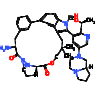 CCn1c(-c2cc(N3CCN4CCC[C@@H]4C3)cnc2[C@H](C)O)c2c3cc(ccc31)-c1cccc(c1)C[C@H](N)C(=O)N1CCC[C@H](N1)C(=O)OCC(C)(C)C2